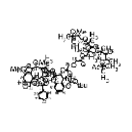 CO[C@H]1C(=O)[C@]2(C)[C@@H](OC)C[C@H]3OC[C@@]3(OC(C)=O)[C@H]2[C@H](OC(=O)c2ccccc2)[C@]2(O)C[C@H](OC(=O)[C@H](OC(=O)COCC(=O)OCC(C)(COC(C)(C)C(=O)C(C)OC(C)(C)C(C)=O)C(=O)C(C)(C)OCCC(C)(C)OC)[C@@H](NC(=O)OC(C)(C)C)c3ccccc3)C(C)=C1C2(C)C